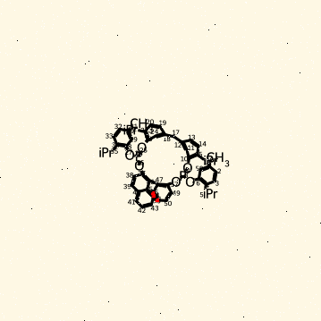 Cc1ccc(C(C)C)c(OP2Oc3cc(ccc3C(C)C)Cc3ccc(C(C)C)c(c3)OP(Oc3cc(C)ccc3C(C)C)Oc3ccc4ccccc4c3-c3c(ccc4ccccc34)O2)c1